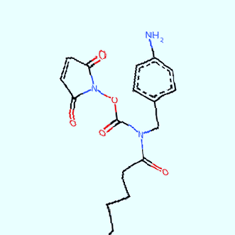 CCCCCC(=O)N(Cc1ccc(N)cc1)C(=O)ON1C(=O)C=CC1=O